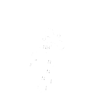 O=C(NCc1ccc(F)cc1)C1(CCCCN2CCN(c3ccc4ccccc4n3)CC2)c2ccccc2Oc2ccccc21